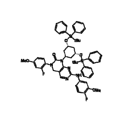 COc1ccc(N2Cc3cnc(Nc4ccc(F)c(OC)c4)nc3N(C3C[C@@H](O[Si](c4ccccc4)(c4ccccc4)C(C)(C)C)C[C@@H](O[Si](c4ccccc4)(c4ccccc4)C(C)(C)C)C3)C2=O)c(F)c1